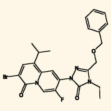 CCn1c(COCc2ccccc2)nn(-c2cc3c(C(C)C)cc(Br)c(=O)n3cc2F)c1=O